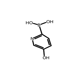 OB(O)c1ccc(O)cn1